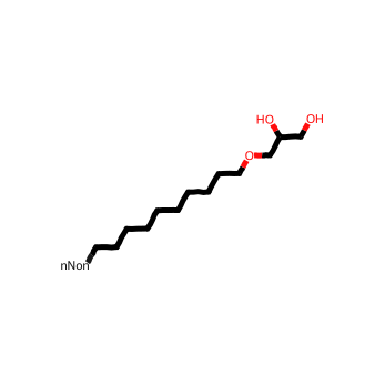 CCCCCCCCCCCCCCCCCCCOCC(O)CO